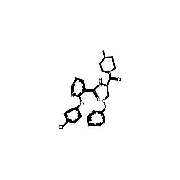 CC1CCN(C(=O)[C@@H](COCc2ccccc2)NC(=O)c2cccnc2Oc2ccc(Cl)cc2)CC1